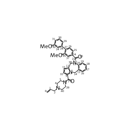 C=CCN1CCN(C(=O)c2ccc3n2Cc2ccccc2N(C(=O)c2ccc(-c4cccc(OC)c4)c(OC)c2)C3)CC1